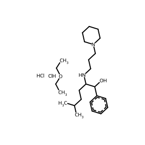 CC(C)CCC(NCCCN1CCCCC1)C(O)c1ccccc1.CCOCC.Cl.Cl